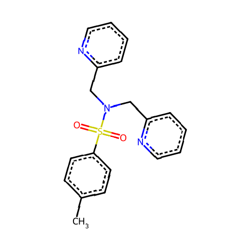 Cc1ccc(S(=O)(=O)N(Cc2ccccn2)Cc2ccccn2)cc1